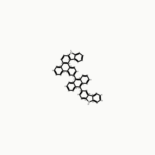 c1ccc2c(c1)oc1ccc3c4ccccc4c4cc(-c5c6ccccc6c(-c6ccc7sc8ccccc8c7c6)c6ccccc56)ccc4c3c12